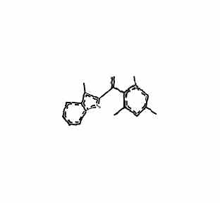 C=C(c1sc2ccccc2c1C)c1c(C)cc(C)cc1C